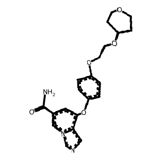 NC(=O)c1cc(Oc2ccc(OCCOC3CCOCC3)cc2)c2cncn2c1